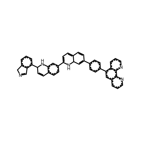 C1=CC2=CC=C(c3ccc4c(c3)NC(c3cccc5c3C=NC5)C=C4)NC2C=C1c1ccc(-c2cc3cccnc3c3ncccc23)cc1